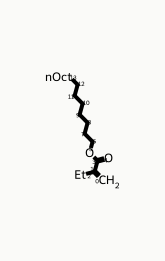 C=C(CC)C(=O)OCCCCCCCCCCCCCCC